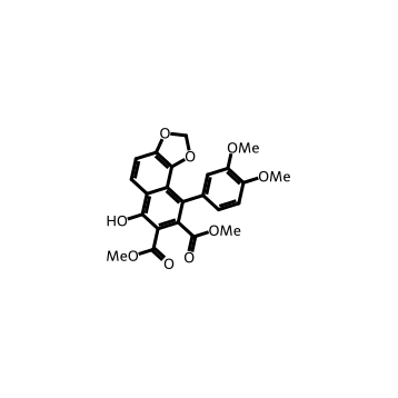 COC(=O)c1c(C(=O)OC)c(-c2ccc(OC)c(OC)c2)c2c3c(ccc2c1O)OCO3